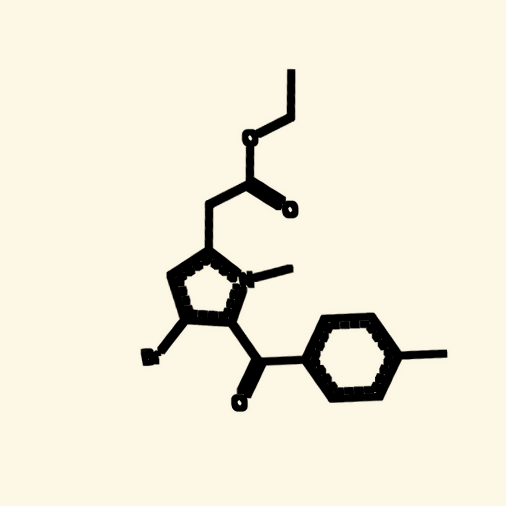 CCOC(=O)Cc1cc(Br)c(C(=O)c2ccc(C)cc2)n1C